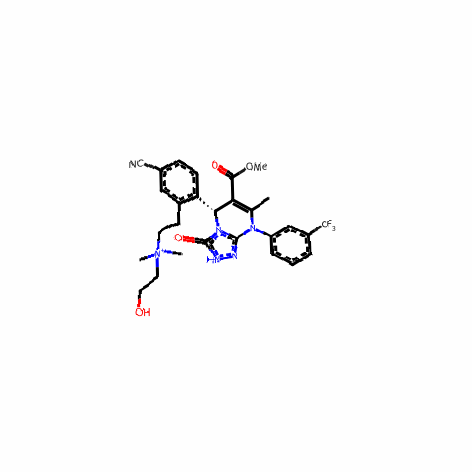 COC(=O)C1=C(C)N(c2cccc(C(F)(F)F)c2)c2n[nH]c(=O)n2[C@@H]1c1ccc(C#N)cc1CC[N+](C)(C)CCO